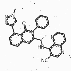 C[C@H](Nc1c(C#N)cnc2cccnc12)c1cc2cccc(-c3cnn(C)c3)c2c(=O)n1-c1ccccc1